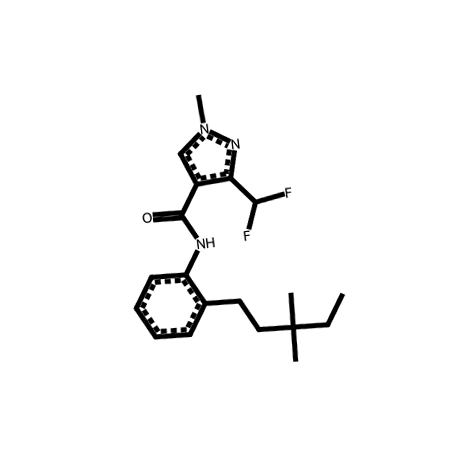 CCC(C)(C)CCc1ccccc1NC(=O)c1cn(C)nc1C(F)F